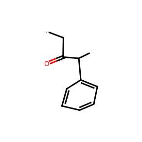 [CH2]CC(=O)C(C)c1ccccc1